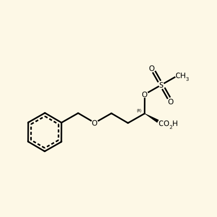 CS(=O)(=O)O[C@H](CCOCc1ccccc1)C(=O)O